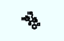 O=C(c1c[nH]nn1)c1c(CCO)noc1-c1ccccc1Cl